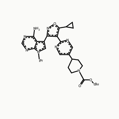 CC(C)n1cc(-c2noc(C3CC3)c2-c2ncc(C3CCN(C(=O)OC(C)(C)C)CC3)cn2)c2c(N)ncnc21